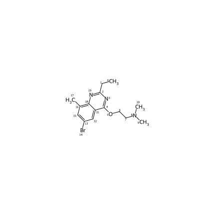 CCc1nc(OCCN(C)C)c2cc(Br)cc(C)c2n1